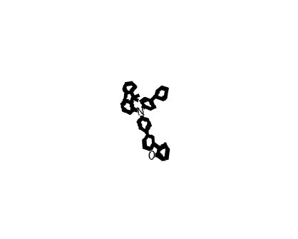 CC1(C)c2ccccc2-c2cccc(N(c3ccc(-c4ccccc4)cc3)c3ccc(C4C=Cc5oc6ccccc6c5C4)cc3)c21